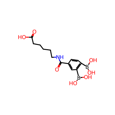 O=C(O)CCCCCNC(=O)c1ccc(B(O)O)c(B(O)O)c1